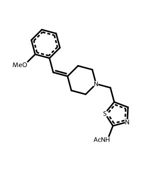 COc1ccccc1C=C1CCN(Cc2cnc(NC(C)=O)s2)CC1